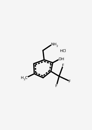 Cc1cc(CN)c(O)c(C(F)(F)F)c1.Cl